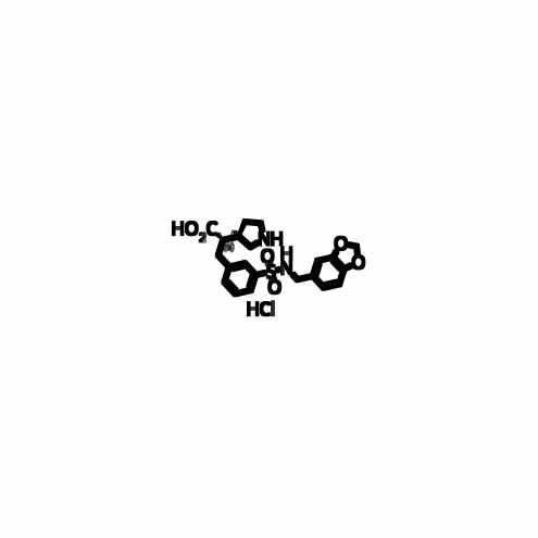 Cl.O=C(O)[C@@H](Cc1cccc(S(=O)(=O)NCc2ccc3c(c2)OCO3)c1)[C@H]1CCNC1